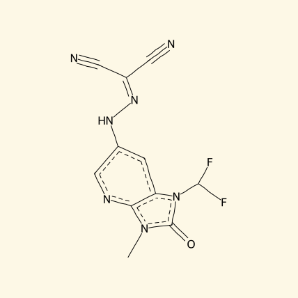 Cn1c(=O)n(C(F)F)c2cc(NN=C(C#N)C#N)cnc21